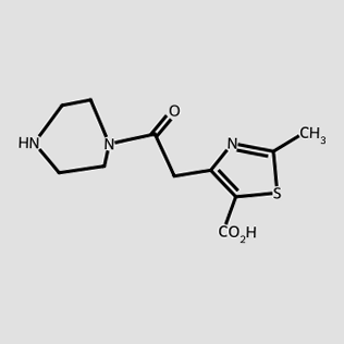 Cc1nc(CC(=O)N2CCNCC2)c(C(=O)O)s1